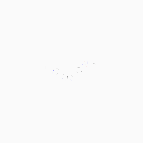 Cc1ccc(-c2cnc3[nH]cc(C(=O)c4c(F)ccc(NS(=O)(=O)N5CC[C@@H](F)C5)c4F)c3c2)cn1